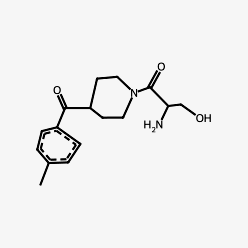 Cc1ccc(C(=O)C2CCN(C(=O)C(N)CO)CC2)cc1